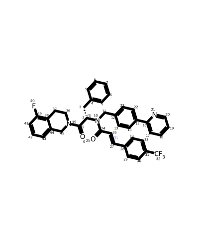 O=C([C@H](Cc1ccccc1)N(Cc1ccc(-c2ccccn2)cc1)C(=O)/C=C/c1ccc(C(F)(F)F)cc1)N1CCc2c(F)cccc2C1